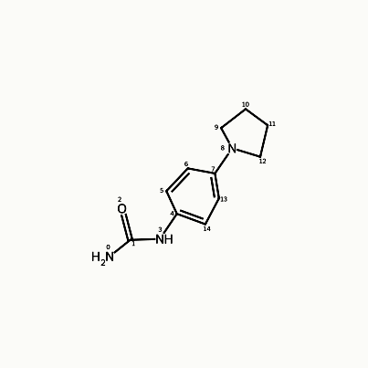 NC(=O)Nc1ccc(N2CCCC2)cc1